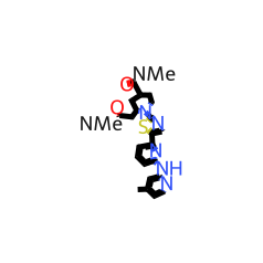 CNC(=O)CC1CC(C(=O)NC)CCN1c1ncc(-c2cccc(Nc3cc(C)ccn3)n2)s1